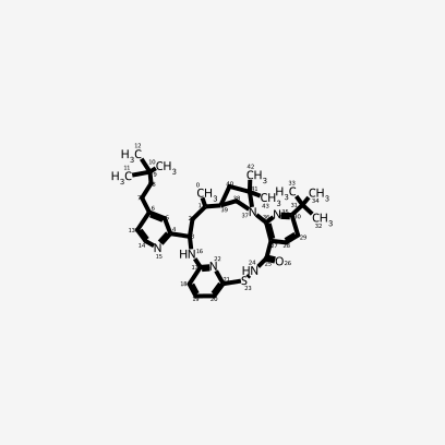 CC1CC(c2cc(CCC(C)(C)C)ccn2)Nc2cccc(n2)SNC(=O)c2ccc(C(C)(C)C)nc2N2CC1CC2(C)C